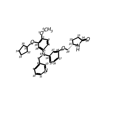 COc1ccc(N(Cc2cccnc2)c2cccc(OC[C@@H]3CCC(=O)N3)c2)cc1OC1CCCC1